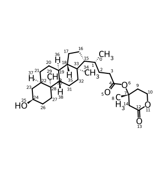 C[C@H](CCC(=O)O[C@]1(C)CCOC(=O)C1)[C@H]1CC[C@H]2[C@@H]3CC[C@@H]4C[C@H](O)CC[C@]4(C)[C@H]3CC[C@]12C